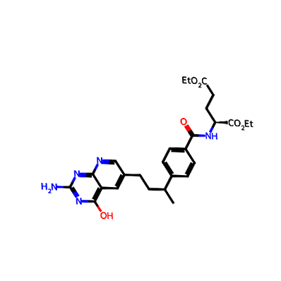 CCOC(=O)CC[C@H](NC(=O)c1ccc(C(C)CCc2cnc3nc(N)nc(O)c3c2)cc1)C(=O)OCC